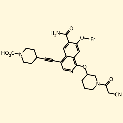 CC(C)Oc1cc2c(OC3CCCN(C(=O)CC#N)C3)ncc(C#CC3CCN(C(=O)O)CC3)c2cc1C(N)=O